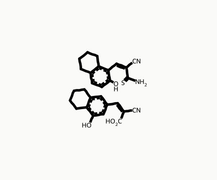 N#C/C(=C/c1c(O)ccc2c1CCCC2)C(N)=S.N#C/C(=C/c1cc(O)c2c(c1)CCCC2)C(=O)O